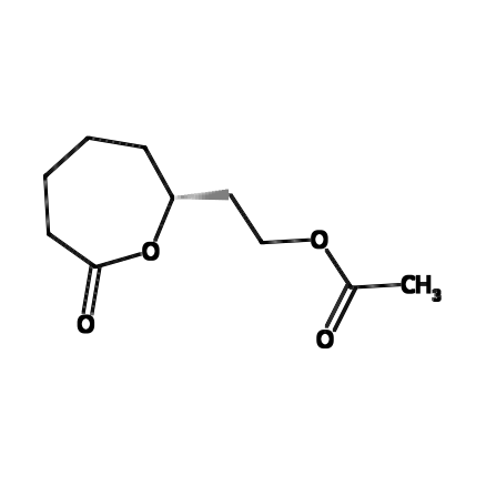 CC(=O)OCC[C@H]1CCCCC(=O)O1